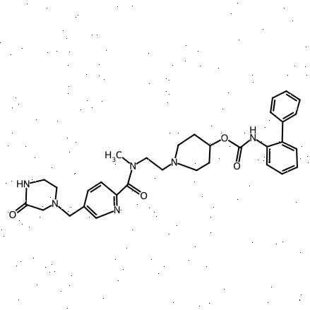 CN(CCN1CCC(OC(=O)Nc2ccccc2-c2ccccc2)CC1)C(=O)c1ccc(CN2CCNC(=O)C2)cn1